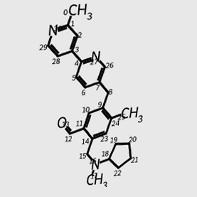 Cc1cc(-c2ccc(Cc3cc(C=O)c(CN(C)C4CCCC4)cc3C)cn2)ccn1